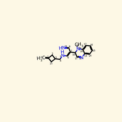 C=C1CC(CN/C=C(\C=N)C2C=Nc3ccccc3N2C)C1